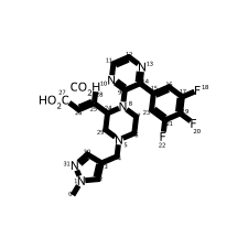 Cn1cc(CN2CCN(c3nccnc3-c3cc(F)c(F)c(F)c3)C(C(=CC(=O)O)C(=O)O)C2)cn1